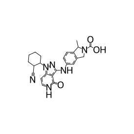 CC1c2ccc(Nc3nn(C4CCCCC4C#N)c4cc[nH]c(=O)c34)cc2CN1C(=O)O